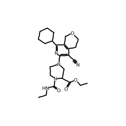 CCNC(=O)N1CCN(c2nc(C3CCCCC3)c3c(c2C#N)CCOC3)CC1C(=O)OCC